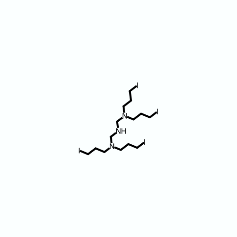 ICCCN(CCCI)CNCN(CCCI)CCCI